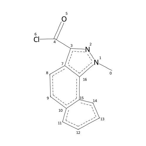 Cn1nc(C(=O)Cl)c2ccc3ccccc3c21